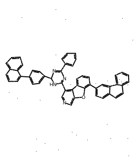 c1ccc(C2=NC(c3ccc(-c4cccc5ccccc45)cc3)NC(c3cncc4oc5c(-c6ccc7ccc8ccccc8c7c6)cccc5c34)=N2)cc1